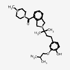 CC(C)COc1cc(CCC(C)(C)N2Cc3cccc(C(=O)N4CCN(C)CC4)c3C2)ccc1O